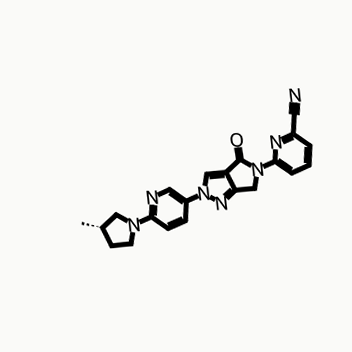 C[C@H]1CCN(c2ccc(-n3cc4c(n3)CN(c3cccc(C#N)n3)C4=O)cn2)C1